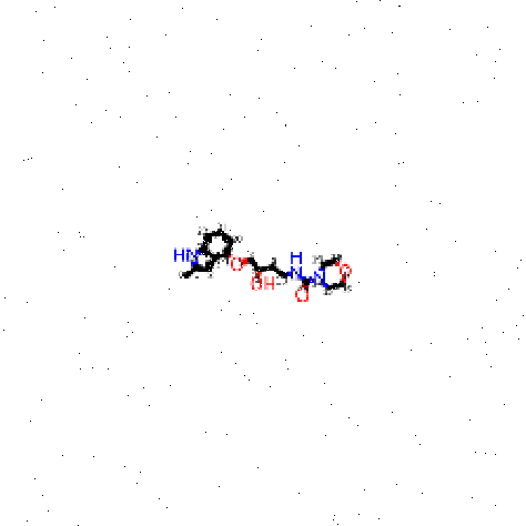 Cc1cc2c(OCC(O)CCNC(=O)N3CCOCC3)cccc2[nH]1